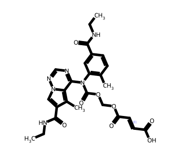 CCNC(=O)c1ccc(C)c(N(C(=O)OCOC(=O)/C=C/C(=O)O)c2ncnn3cc(C(=O)NCC)c(C)c23)c1